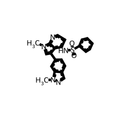 Cn1cc(-c2ccc3cnn(C)c3c2)c2c(NS(=O)(=O)c3ccccc3)ccnc21